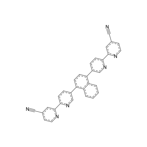 N#Cc1ccnc(-c2ccc(-c3ccc(-c4ccc(-c5cc(C#N)ccn5)nc4)c4ccccc34)cn2)c1